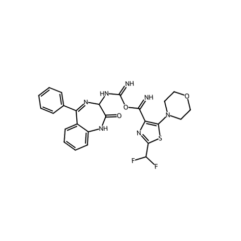 N=C(NC1N=C(c2ccccc2)c2ccccc2NC1=O)OC(=N)c1nc(C(F)F)sc1N1CCOCC1